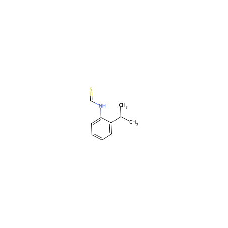 CC(C)c1ccccc1NC=S